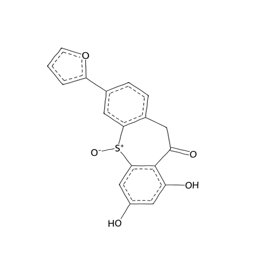 O=C1Cc2ccc(-c3ccco3)cc2[S+]([O-])c2cc(O)cc(O)c21